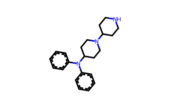 c1ccc(N(c2ccccc2)C2CCN(C3CCNCC3)CC2)cc1